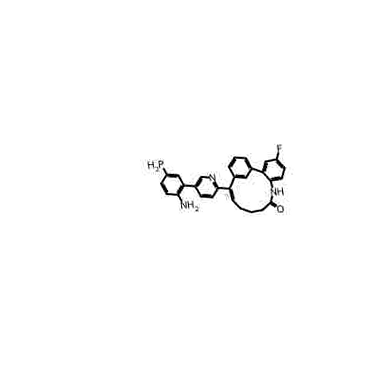 Nc1ccc(P)cc1-c1ccc(/C2=C/CCCC(=O)Nc3ccc(F)cc3-c3cccc2c3)nc1